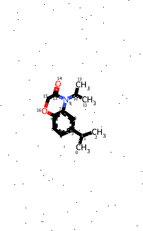 CC(C)c1ccc2c(c1)N(C(C)C)C(=O)CO2